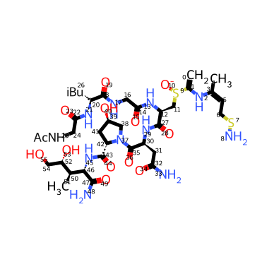 C=C(N/C(C)=C\CSN)[S+]([O-])C[C@H](NC(=O)CNC(=O)[C@@H](NC(=O)CNC(C)=O)[C@@H](C)CC)C(=O)N[C@@H](CC(N)=O)C(=O)N1C[C@H](O)C[C@H]1C(=O)N[C@H](C(N)=O)[C@@H](C)[C@@H](O)CO